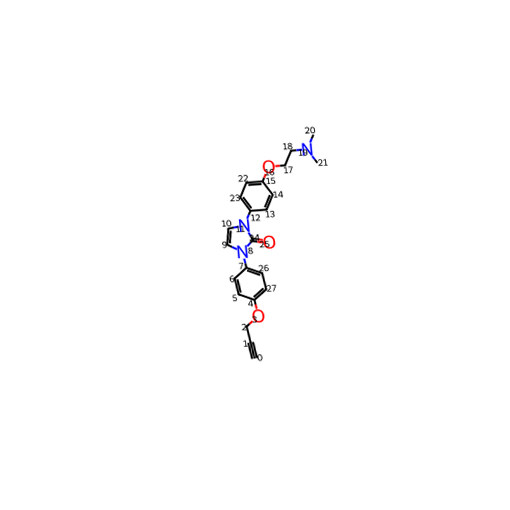 C#CCOc1ccc(-n2ccn(-c3ccc(OCCN(C)C)cc3)c2=O)cc1